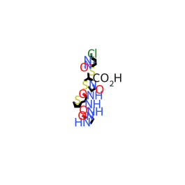 O=C(NC(C(=O)N[C@H]1C(=O)N2C(C(=O)O)=C(CSc3ccc(Cl)n[n+]3[O-])CSC12)c1cccs1)NN1CCNC1=O